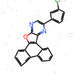 Clc1cccc(-c2cnc3oc4c5ccccc5c5ccccc5c4c3n2)c1